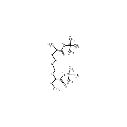 CCC(CCCCCC(C)C(=O)OC(C)(C)C)C(=O)OC(C)(C)C